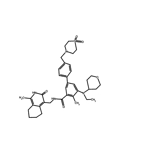 CCN(c1cc(-c2ccc(CN3CCS(=O)(=O)CC3)cc2)cc(C(=O)NCc2c3c(c(C)[nH]c2=O)CCCC3)c1C)C1CCOCC1